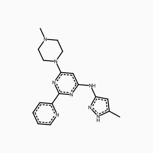 Cc1cc(Nc2cc(N3CCN(C)CC3)nc(-c3ccccn3)n2)n[nH]1